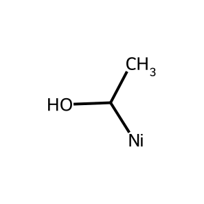 C[CH](O)[Ni]